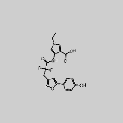 CCn1cc(NC(=O)C(F)(F)Cc2cc(-c3ccc(O)cc3)on2)c(C(=O)O)c1